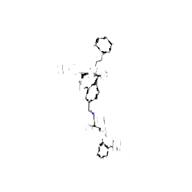 Cc1nc2cc(/C=C/C(=O)Nc3ccccc3N)ccc2c(=O)n1CCc1ccccc1